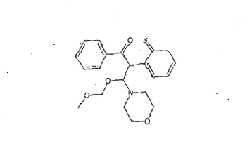 COCOC(C(C(=O)c1ccccc1)C1=CC=CCC1=S)N1CCOCC1